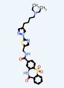 CCN(CC)CCCCc1cnn(-c2ncc(CNC(=O)c3ccc4c(c3)NC(=O)c3ccccc3S4(=O)=O)s2)c1